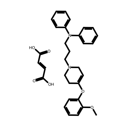 COc1ccccc1OC1=CCN(CCCN(c2ccccc2)c2ccccc2)CC1.O=C(O)C=CC(=O)O